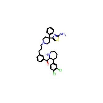 Nc1nc(C2(c3ccccc3)CCN(CCCc3cccc(C(=O)C4NCCCCC4c4ccc(Cl)c(Cl)c4)c3)CC2)cs1